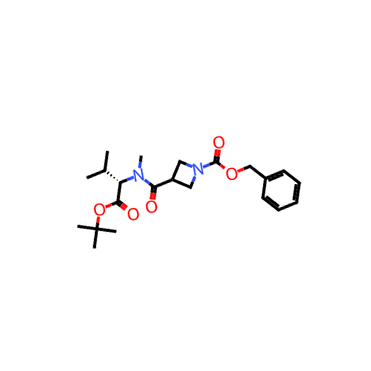 CC(C)[C@@H](C(=O)OC(C)(C)C)N(C)C(=O)C1CN(C(=O)OCc2ccccc2)C1